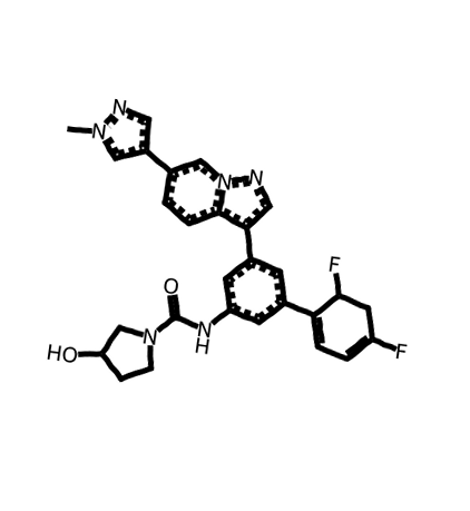 Cn1cc(-c2ccc3c(-c4cc(NC(=O)N5CCC(O)C5)cc(C5=CC=C(F)CC5F)c4)cnn3c2)cn1